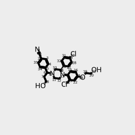 N#Cc1ccc(C(CCO)N2CCN(c3ccc(OCCO)cc3Cl)[C@H](c3ccc(Cl)cc3)C2)cc1